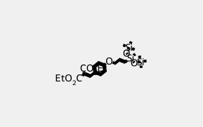 CCOC(=O)C(=Cc1ccc(OCC=C[Si](C)(O[Si](C)(C)C)O[Si](C)(C)C)cc1)C(=O)OCC